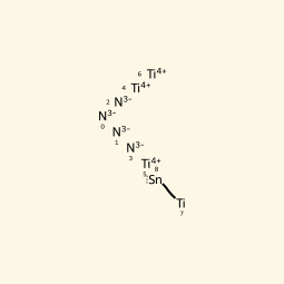 [N-3].[N-3].[N-3].[N-3].[Ti+4].[Ti+4].[Ti+4].[Ti][Sn]